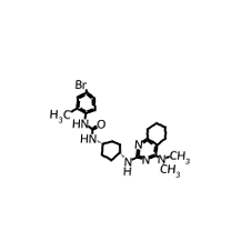 Cc1cc(Br)ccc1NC(=O)N[C@H]1CC[C@@H](Nc2nc3c(c(N(C)C)n2)CCCC3)CC1